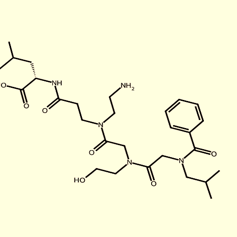 CC(C)C[C@H](NC(=O)CCN(CCN)C(=O)CN(CCO)C(=O)CN(CC(C)C)C(=O)c1ccccc1)C(=O)O